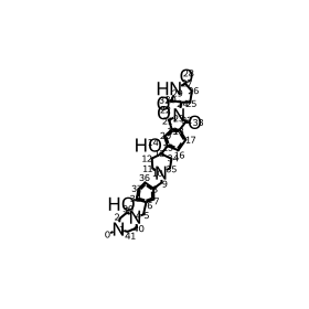 CN1CCN(Cc2cc(CN3CCC(O)(c4ccc5c(c4)C(=O)N(C4CCC(=O)NC4=O)C5=O)CC3)ccc2O)CC1